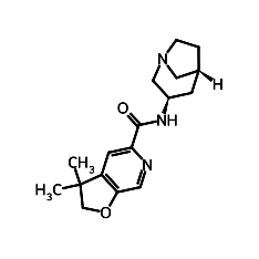 CC1(C)COc2cnc(C(=O)N[C@@H]3C[C@H]4CCN(C4)C3)cc21